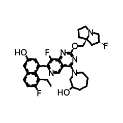 CCc1c(F)ccc2cc(O)cc(-c3ncc4c(N5CCCCC(O)C5)nc(OC[C@@]56CCCN5C[C@H](F)C6)nc4c3F)c12